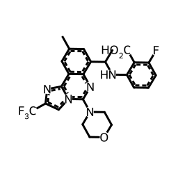 Cc1cc(C(C)Nc2cccc(F)c2C(=O)O)c2nc(N3CCOCC3)n3cc(C(F)(F)F)nc3c2c1